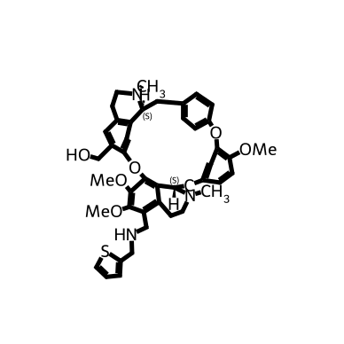 COc1ccc2cc1Oc1ccc(cc1)C[C@H]1c3cc(c(CO)cc3CCN1C)Oc1c(OC)c(OC)c(CNCc3cccs3)c3c1[C@H](C2)N(C)CC3